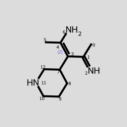 CC(=N)/C(=C(/C)N)C1CCCNC1